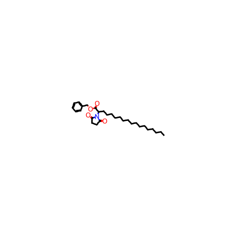 CCCCCCCCCCCCCCCCC(C(=O)OCc1ccccc1)N1C(=O)CCC1=O